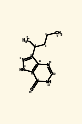 CCCC(C)c1n[nH]c2c(=O)[nH]cnc12